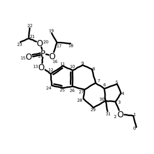 CCOC1CCC2C3CCc4cc(OP(=O)(OC(C)C)OC(C)C)ccc4C3CCC12C